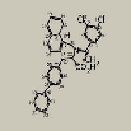 C=C(c1ccc(Cl)c(Cl)c1)N(CC1=CC=CC2=CC=CC[C@H]21)[C@H](Cc1ccc(-c2ccccc2)cc1)C(=O)O